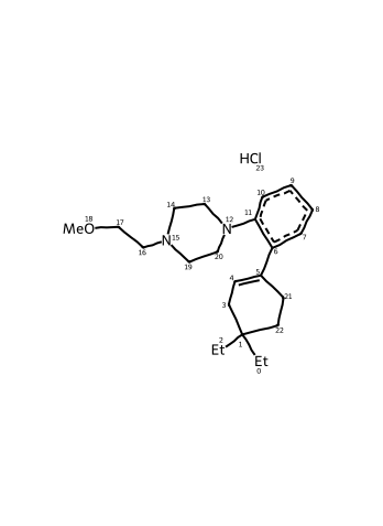 CCC1(CC)CC=C(c2ccccc2N2CCN(CCOC)CC2)CC1.Cl